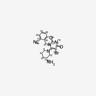 Cn1c(=O)c(Br)c(N2CCC[C@@H](N)C2)n(Cc2ccccc2C#N)c1=O